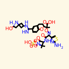 CC(ON=C(C(=O)NC1C(=O)N(OS(=O)(=O)O)C1(C)C)c1csc(N)n1)(C(=O)O)C1CCc2cc(C(=N)NC3CC(N)(CCO)C3)ccc2O1